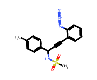 CS(=O)(=O)NC(C#Cc1ccccc1N=[N+]=[N-])c1ccc(C(F)(F)F)cc1